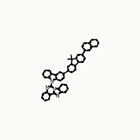 CC1(C)c2cc(-c3ccc4ccccc4c3)ccc2-c2ccc(-c3ccc4c(c3)c3ccccc3n4-c3nc4ccccc4c4nc5ccccc5n34)cc21